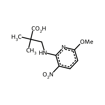 COc1ccc([N+](=O)[O-])c(NCC(C)(C)C(=O)O)n1